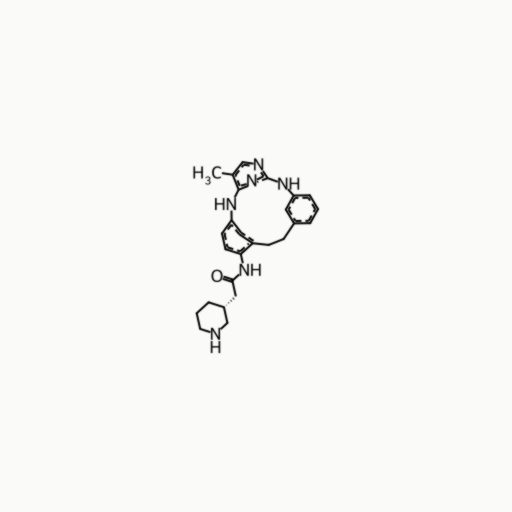 Cc1cnc2nc1Nc1ccc(NC(=O)C[C@H]3CCCNC3)c(c1)CCc1cccc(c1)N2